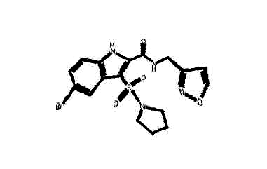 O=C(NCc1ccon1)c1[nH]c2ccc(Br)cc2c1S(=O)(=O)N1CCCC1